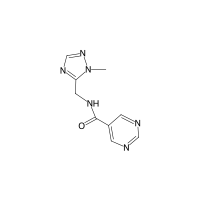 Cn1ncnc1CNC(=O)c1cncnc1